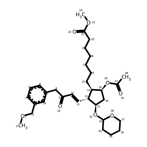 COCc1cccc(CC(=O)/C=C/[C@@H]2[C@@H](CCCCCCC(=O)OC)[C@@H](OC(C)=O)C[C@H]2OC2CCCCO2)c1